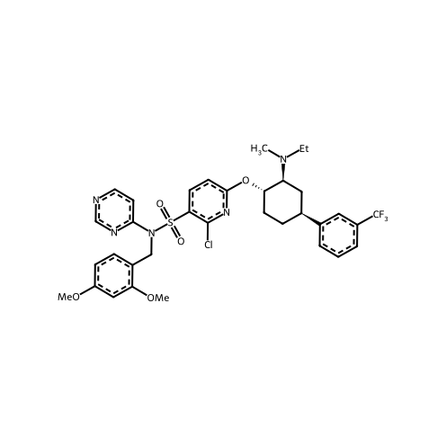 CCN(C)[C@H]1C[C@@H](c2cccc(C(F)(F)F)c2)CC[C@@H]1Oc1ccc(S(=O)(=O)N(Cc2ccc(OC)cc2OC)c2ccncn2)c(Cl)n1